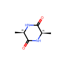 C[C@H]1NC(=O)[C@@H](C)NC1=O